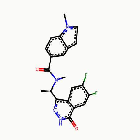 C[C@H](c1n[nH]c(=O)c2cc(F)c(F)cc12)N(C)C(=O)c1ccc2c(ccn2C)c1